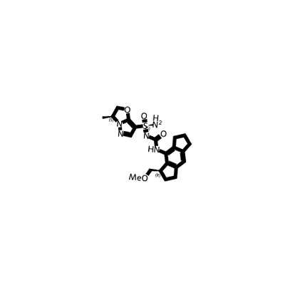 COC[C@@H]1CCc2cc3c(c(NC(=O)N=[S@](N)(=O)c4cnn5c4OC[C@@H]5C)c21)CCC3